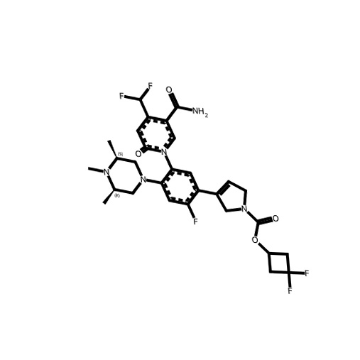 C[C@@H]1CN(c2cc(F)c(C3=CCN(C(=O)OC4CC(F)(F)C4)C3)cc2-n2cc(C(N)=O)c(C(F)F)cc2=O)C[C@H](C)N1C